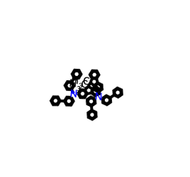 CC1(C2(C)c3ccccc3-c3ccc(N(c4cccc(-c5ccccc5)c4)c4cccc(-c5ccccc5)c4)cc32)c2ccccc2-c2ccc(N(c3cccc(-c4ccccc4)c3)c3cccc(-c4ccccc4)c3)cc21